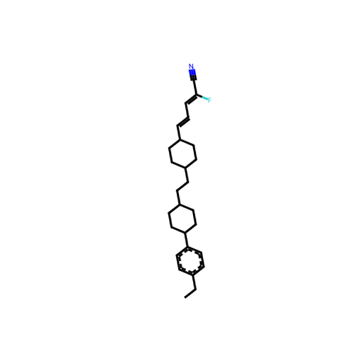 CCc1ccc(C2CCC(CCC3CCC(C=CC=C(F)C#N)CC3)CC2)cc1